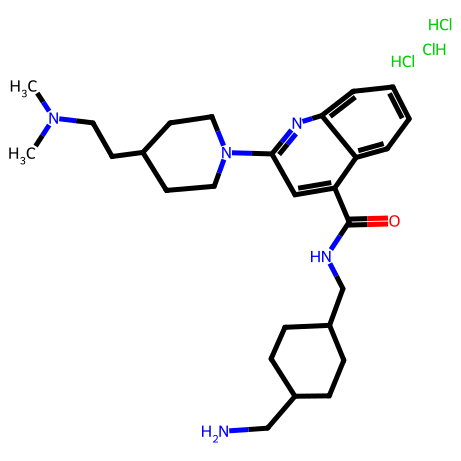 CN(C)CCC1CCN(c2cc(C(=O)NCC3CCC(CN)CC3)c3ccccc3n2)CC1.Cl.Cl.Cl